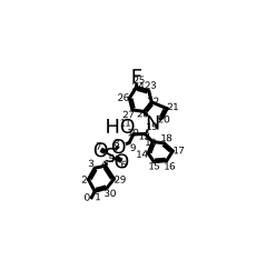 Cc1ccc(S(=O)(=O)OC[C@@H](O)[C@H](c2ccccc2)n2ccc3cc(F)ccc32)cc1